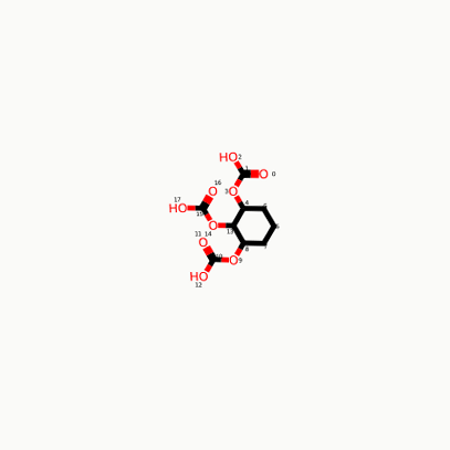 O=C(O)OC1CCCC(OC(=O)O)C1OC(=O)O